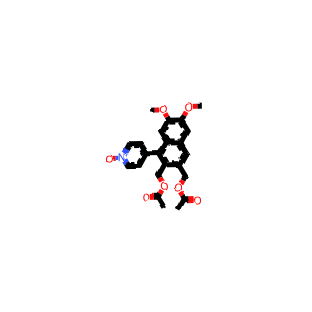 COc1cc2cc(COC(C)=O)c(COC(C)=O)c(-c3cc[n+]([O-])cc3)c2cc1OC